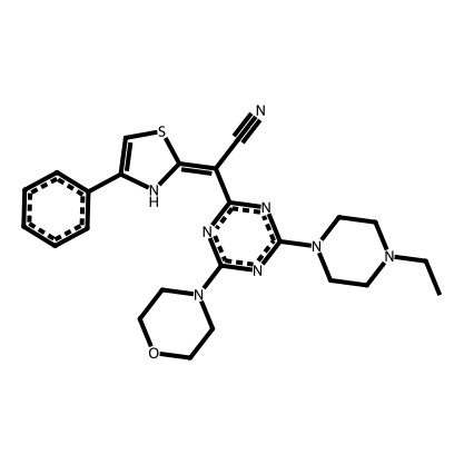 CCN1CCN(c2nc(C(C#N)=C3NC(c4ccccc4)=CS3)nc(N3CCOCC3)n2)CC1